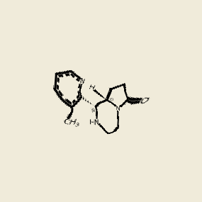 Cc1cccnc1[C@H]1NCCN2C(=O)CC[C@@H]12